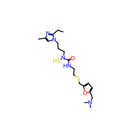 CCc1nc(C)cn1CCCN(S)C(=O)NCCSCc1ccc(CN(C)C)o1